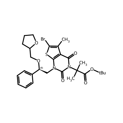 Cc1c(Br)sc2c1c(=O)n(C(C)(C)C(=O)OC(C)(C)C)c(=O)n2C[C@H](OCC1CCCO1)c1ccccc1